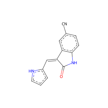 N#Cc1ccc2c(c1)C(=Cc1ccc[nH]1)C(=O)N2